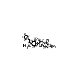 CC(C)C[C@@H]1NCCN(CC(C(=O)N2CCC(C)(CCN3CCCC3)CC2)C(C)C)C1=O